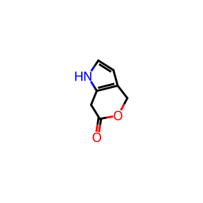 O=C1Cc2[nH]ccc2CO1